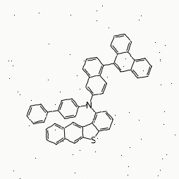 c1ccc(-c2ccc(N(c3ccc4c(-c5cc6ccccc6c6ccccc56)cccc4c3)c3cccc4sc5cc6ccccc6cc5c34)cc2)cc1